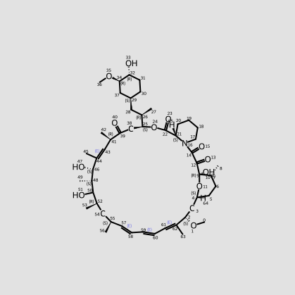 CO[C@H]1C[C@@H]2CC[C@@H](C)[C@@](O)(O2)C(=O)C(=O)N2CCCC[C@H]2C(=O)O[C@H]([C@H](C)C[C@@H]2CC[C@@H](O)[C@H](OC)C2)CC(=O)[C@H](C)/C=C(\C)[C@@H](O)[C@@H](C)C(O)[C@H](C)C[C@H](C)/C=C/C=C/C=C/1C